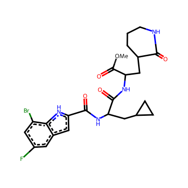 COC(=O)C(CC1CCCNC1=O)NC(=O)C(CC1CC1)NC(=O)c1cc2cc(F)cc(Br)c2[nH]1